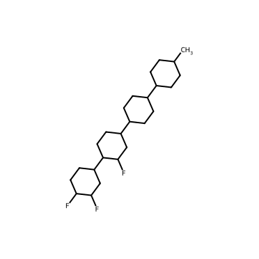 CC1CCC(C2CCC(C3CCC(C4CCC(F)C(F)C4)C(F)C3)CC2)CC1